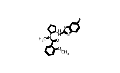 COc1ccccc1C(=O)N(C)[C@@H]1CCC[C@@H]1Nc1nc2ccc(F)cc2s1